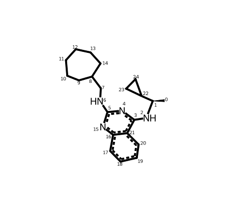 C[C@@H](Nc1nc(NCC2CCCCCC2)nc2ccccc12)C1CC1